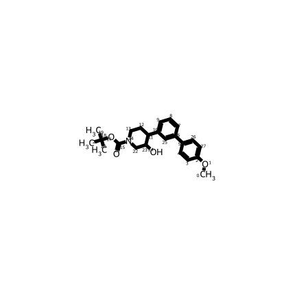 COc1ccc(-c2cccc(C3CCN(C(=O)OC(C)(C)C)CC3O)c2)cc1